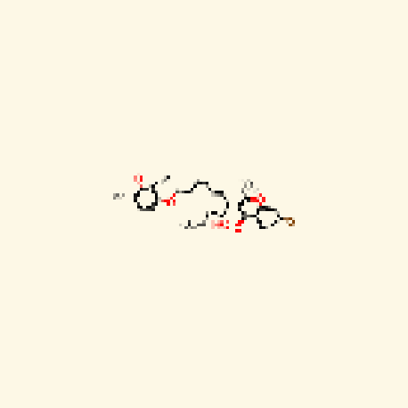 CCCc1c(OCC/C=C\C=C\[C@@H](c2c(C(=O)O)oc3c(c2=O)=CCC(=S)C=3)[C@H](O)CCC(F)(F)F)ccc(C(C)=O)c1O